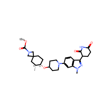 C[C@@H]1CC2(CC[C@@H]1OC1CCN(c3ccc4c(C5CCC(=O)NC5=O)nn(C)c4c3)CC1)CN(C(=O)OC(C)(C)C)C2